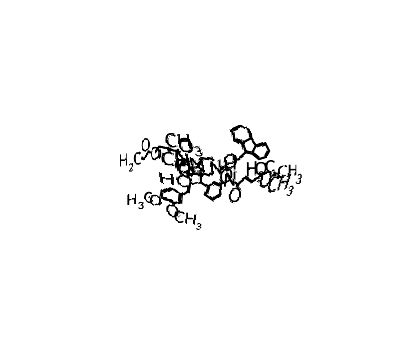 C=CC(=O)OCC(C)(C)C(=O)C(=O)N1CCN(C(=O)OCC2c3ccccc3-c3ccccc32)CC1(C(=O)O)[C@H](CCc1ccc(OC)c(OC)c1)c1cccc(NC(=O)CCC(=O)OC(C)(C)C)c1